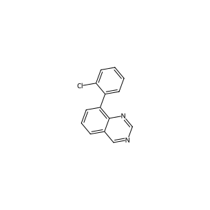 Clc1ccccc1-c1cccc2cncnc12